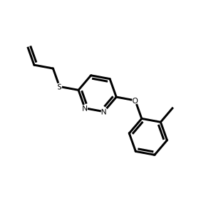 C=CCSc1ccc(Oc2ccccc2C)nn1